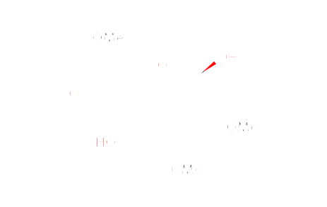 COC(=O)[C@@H]1O[C@@H](O)C(OC)C(OC)[C@@H]1O